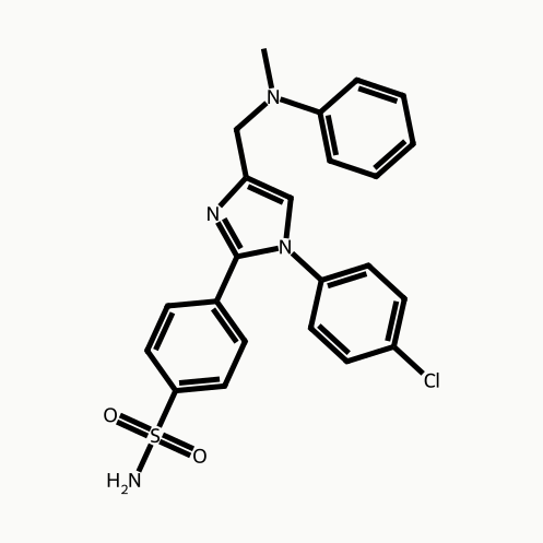 CN(Cc1cn(-c2ccc(Cl)cc2)c(-c2ccc(S(N)(=O)=O)cc2)n1)c1ccccc1